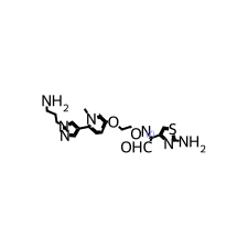 C[n+]1cc(OCCO/N=C(\C=O)c2csc(N)n2)ccc1-c1cnn(CCCN)c1